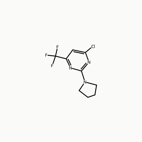 FC(F)(F)c1cc(Cl)nc(N2CCCC2)n1